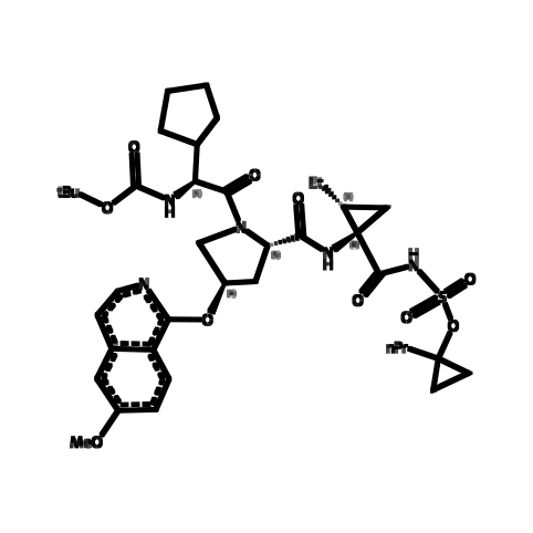 CCCC1(OS(=O)(=O)NC(=O)[C@@]2(NC(=O)[C@@H]3C[C@@H](Oc4nccc5cc(OC)ccc45)CN3C(=O)[C@@H](NC(=O)OC(C)(C)C)C3CCCC3)C[C@H]2CC)CC1